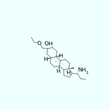 CCOC[C@@]1(O)CC[C@H]2[C@H](CC[C@H]3[C@@H]4CCC([C@H](N)CC)[C@@]4(C)CC[C@]23C)C1